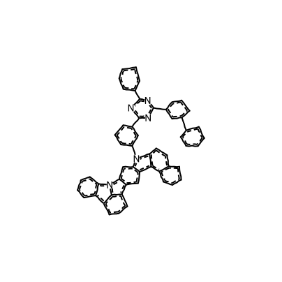 c1ccc(-c2cccc(-c3nc(-c4ccccc4)nc(-c4cccc(-n5c6cc7c(cc6c6c8ccccc8ccc65)c5cccc6c8ccccc8n7c65)c4)n3)c2)cc1